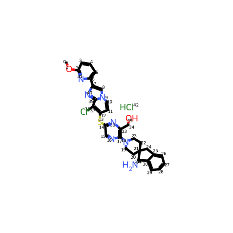 COc1cccc(-c2cn3ccc(Sc4cnc(N5CCC6(CC5)Cc5ccccc5[C@H]6N)c(CO)n4)c(Cl)c3n2)n1.Cl